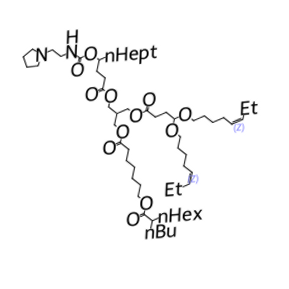 CC/C=C\CCCCOC(CCC(=O)OCC(COC(=O)CCCCCCOC(=O)C(CCCC)CCCCCC)COC(=O)CCC(CCCCCCC)OC(=O)NCCN1CCCC1)OCCCC/C=C\CC